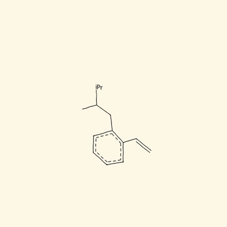 C=Cc1ccccc1CC(C)C(C)C